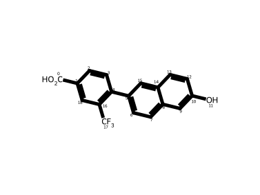 O=C(O)c1ccc(-c2ccc3cc(O)ccc3c2)c(C(F)(F)F)c1